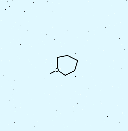 C[O+]1CCCCC1